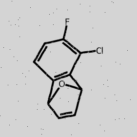 Fc1ccc2c(c1Cl)C1C=CC2O1